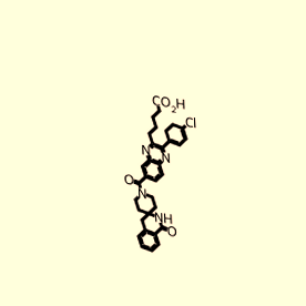 O=C(O)CCCCc1nc2cc(C(=O)N3CCC4(CC3)Cc3ccccc3C(=O)N4)ccc2nc1C1=CC=C(Cl)CC1